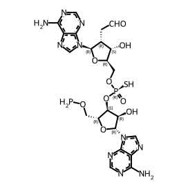 Nc1ncnc2c1ncn2[C@@H]1O[C@H](COP)[C@@H](O[P@](=O)(S)OC[C@H]2O[C@@H](n3cnc4c(N)ncnc43)[C@H](CC=O)[C@@H]2O)[C@H]1O